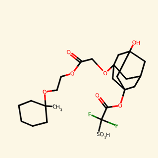 CC1(OCCOC(=O)COC23CC4CC(O)(C2)CC(OC(=O)C(F)(F)S(=O)(=O)O)(C4)C3)CCCCC1